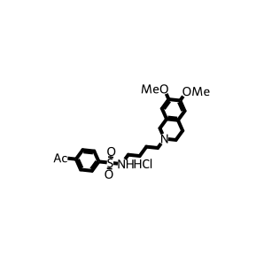 COc1cc2c(cc1OC)CN(CCCCNS(=O)(=O)c1ccc(C(C)=O)cc1)CC2.Cl